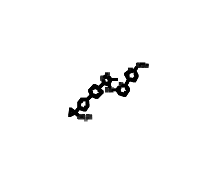 CCOC(=O)C1(c2ccc(-c3ccc(-c4onc(C)c4Nc4cccc(-c5ccc(OC)nc5)n4)cc3)cc2)CC1